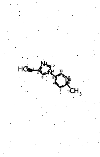 C#Cc1cn(-c2ccc(C)nc2)cn1